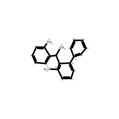 Cc1ccccc1C(C)c1c(C)cccc1-c1ccccc1